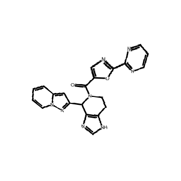 O=C(c1cnc(-c2ncccn2)o1)N1CCc2[nH]cnc2C1c1cc2ccccn2n1